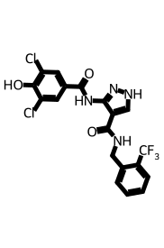 O=C(Nc1n[nH]cc1C(=O)NCc1ccccc1C(F)(F)F)c1cc(Cl)c(O)c(Cl)c1